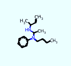 C=CC(C)NC(C)N(CCCC)c1ccccc1